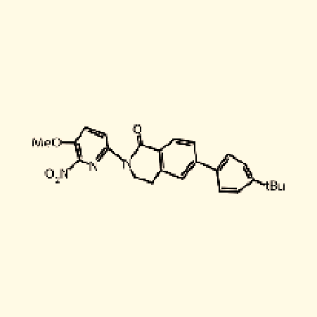 COc1ccc(N2CCc3cc(-c4ccc(C(C)(C)C)cc4)ccc3C2=O)nc1[N+](=O)[O-]